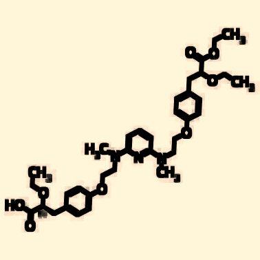 CCOC(=O)C(Cc1ccc(OCCN(C)c2cccc(N(C)CCOc3ccc(C[C@H](OCC)C(=O)O)cc3)n2)cc1)OCC